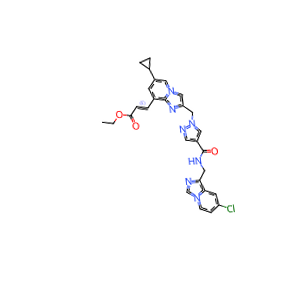 CCOC(=O)/C=C/c1cc(C2CC2)cn2cc(Cn3cc(C(=O)NCc4ncn5ccc(Cl)cc45)cn3)nc12